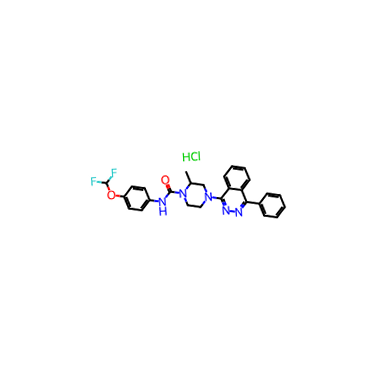 CC1CN(c2nnc(-c3ccccc3)c3ccccc23)CCN1C(=O)Nc1ccc(OC(F)F)cc1.Cl